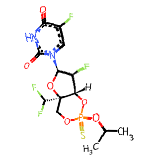 CC(C)OP1(=S)OC[C@@]2(C(F)F)O[C@@H](n3cc(F)c(=O)[nH]c3=O)[C@@H](F)[C@@H]2O1